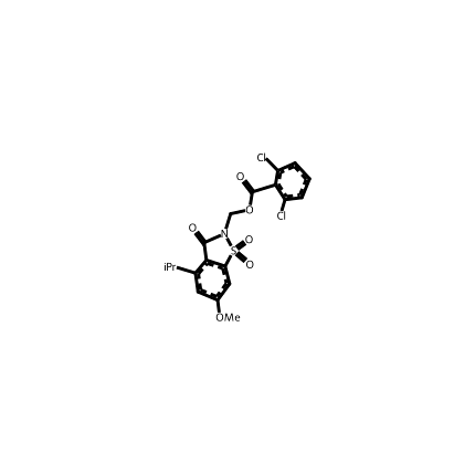 COc1cc(C(C)C)c2c(c1)S(=O)(=O)N(COC(=O)c1c(Cl)cccc1Cl)C2=O